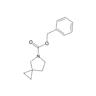 O=C(OCc1ccccc1)N1CCC2(CC2)C1